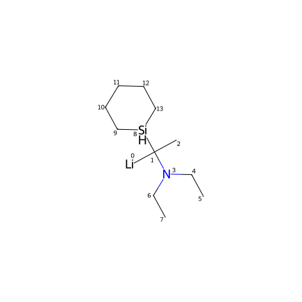 [Li][C](C)(N(CC)CC)[SiH]1CCCCC1